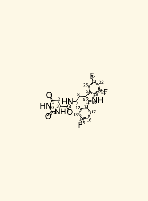 O=C1CC(C(=O)NCCc2c(-c3ccc(F)cc3)[nH]c3c(F)cc(F)cc23)NC(=O)N1